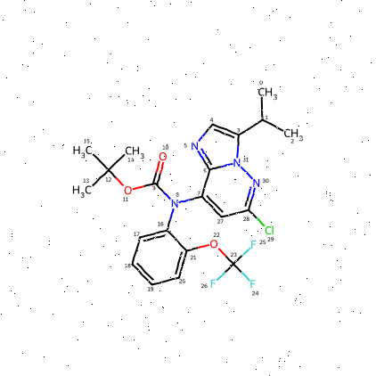 CC(C)c1cnc2c(N(C(=O)OC(C)(C)C)c3ccccc3OC(F)(F)F)cc(Cl)nn12